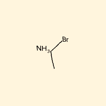 CCBr.N